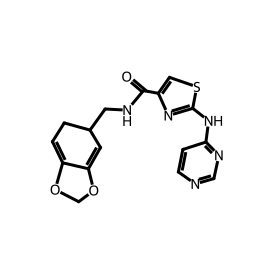 O=C(NCC1C=C2OCOC2=CC1)c1csc(Nc2ccncn2)n1